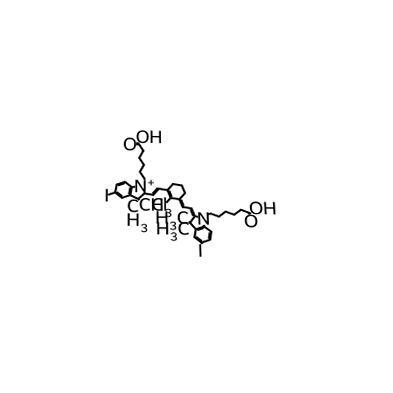 CC1(C)C(/C=C/C2=C(Cl)C(=C/C=C3/N(CCCCCC(=O)O)c4ccc(I)cc4C3(C)C)/CCC2)=[N+](CCCCCC(=O)O)c2ccc(I)cc21